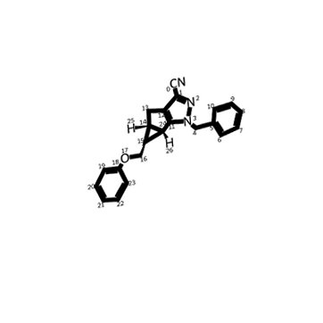 N#Cc1nn(Cc2ccccc2)c2c1C[C@H]1[C@H](COc3ccccc3)[C@@H]21